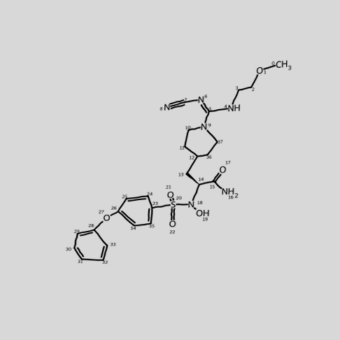 COCCN/C(=N/C#N)N1CCC(C[C@@H](C(N)=O)N(O)S(=O)(=O)c2ccc(Oc3ccccc3)cc2)CC1